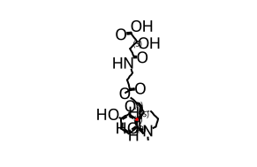 CN1CCC[C@]23c4c5ccc(O)c4O[C@H]2C(OC(=O)CCNC(=O)C[C@H](O)C(=O)O)=CC[C@@]3(O)[C@H]1C5